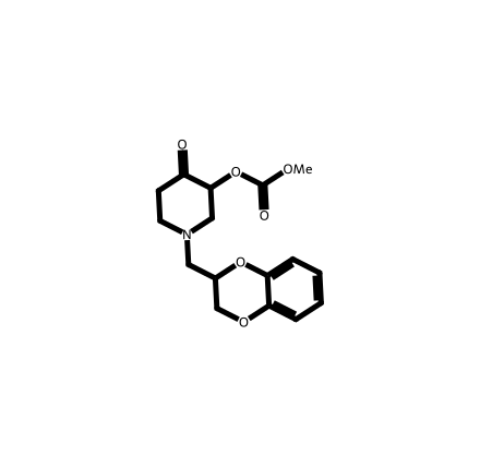 COC(=O)OC1CN(CC2COc3ccccc3O2)CCC1=O